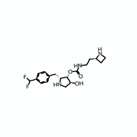 O=C(NCC[C@@H]1CCN1)O[C@@H]1[C@@H](O)CN[C@@H]1Cc1ccc(C(F)F)cc1